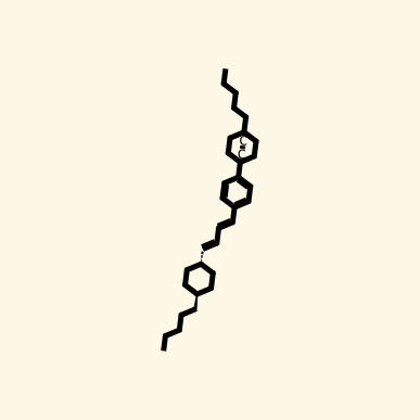 CCCCCC12CCC(c3ccc(C=CC=C[C@H]4CC[C@H](CCCCC)CC4)cc3)(CC1)CC2